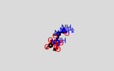 COc1ccc2c(c1)C(=O)N(C[C@@]1(/C=C/c3cc(-c4cc(=O)[nH]c(N)n4)cnc3OC)NC(=O)N(COC(=O)C(C)(C)C)C1=O)C2